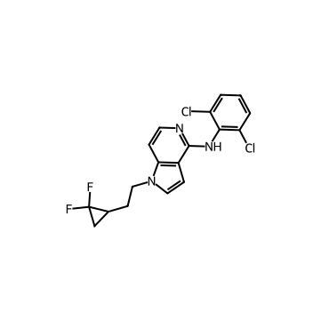 FC1(F)CC1CCn1ccc2c(Nc3c(Cl)cccc3Cl)nccc21